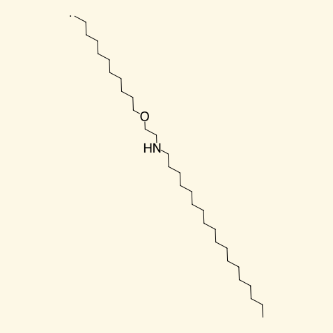 [CH2]CCCCCCCCCCOCCNCCCCCCCCCCCCCCCCCC